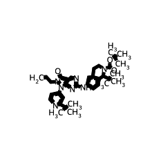 C=CCn1c(=O)c2cnc(Nc3ccc4c(c3)CCN(C(=O)OC(C)(C)C)C4C(C)(C)C)nc2n1-c1ccnc(C(C)(C)C)c1